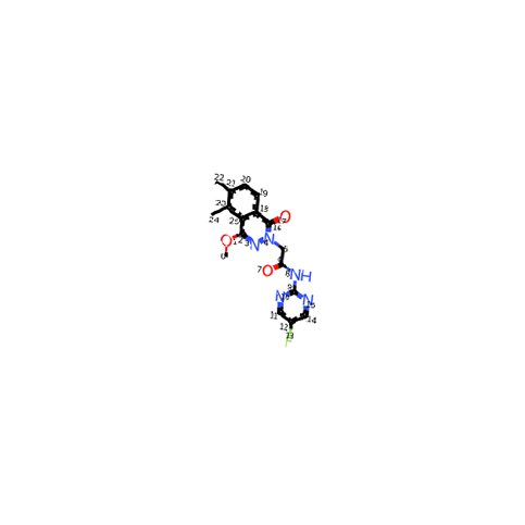 COc1nn(CC(=O)Nc2ncc(F)cn2)c(=O)c2ccc(C)c(C)c12